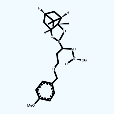 COc1ccc(COCCC(N[S@+]([O-])C(C)(C)C)B2O[C@@H]3C[C@@H]4C[C@@H](C4(C)C)[C@]3(C)O2)cc1